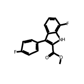 COC(=O)c1[nH]c2c(F)cccc2c1-c1ccc(F)cc1